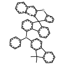 CC1(C)c2ccccc2-c2ccc(N(c3ccccc3)c3cccc4c3-c3ccccc3C43c4ccccc4Oc4cc5ccccc5cc43)cc21